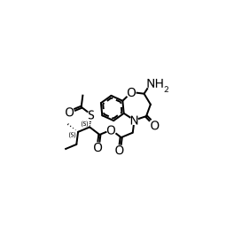 CC[C@H](C)[C@H](SC(C)=O)C(=O)OC(=O)CN1C(=O)CC(N)Oc2ccccc21